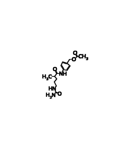 CC(=O)OCc1ccc(NC(=O)C(C)CCCNC(N)=O)cc1